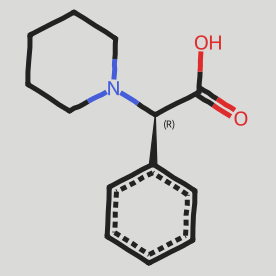 O=C(O)[C@@H](c1ccccc1)N1CCCCC1